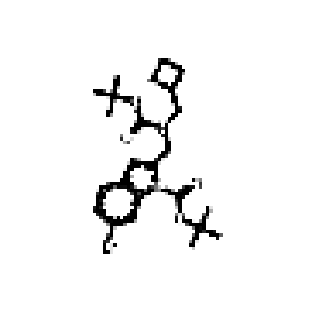 CC(C)(C)OC(=O)N(Cc1cc2ccc(Br)cc2n1C(=O)OC(C)(C)C)CC1CCC1